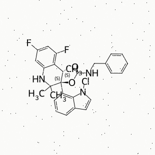 C[C@H]1c2c(F)cc(F)cc2NC(C)(C)[C@@]1(OC(=O)NCc1ccccc1)c1cccc2ccn(Cl)c12